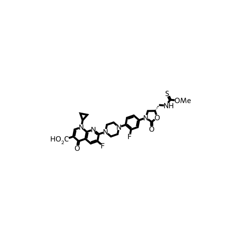 COC(=S)NC[C@H]1CN(c2ccc(N3CCN(c4nc5c(cc4F)c(=O)c(C(=O)O)cn5C4CC4)CC3)c(F)c2)C(=O)O1